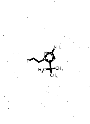 CC(C)(C)c1cc(N)nn1CCF